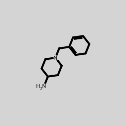 NC1CCN(CC2=CCCC=C2)CC1